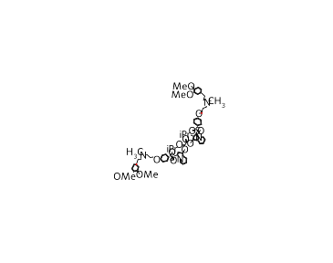 COc1ccc(CCN(C)CCCOc2ccc(S(=O)(=O)c3c(C(C)C)c(OC(=O)C(=O)Oc4c(C(C)C)c(S(=O)(=O)c5ccc(OCCCN(C)CCc6ccc(OC)c(OC)c6)cc5)n5ccccc45)c4ccccn34)cc2)cc1OC